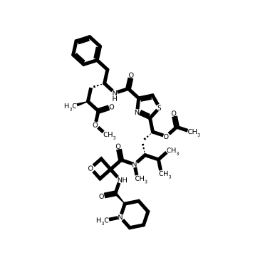 COC(=O)[C@@H](C)C[C@H](Cc1ccccc1)NC(=O)c1csc([C@@H](C[C@H](C(C)C)N(C)C(=O)C2(NC(=O)[C@H]3CCCCN3C)COC2)OC(C)=O)n1